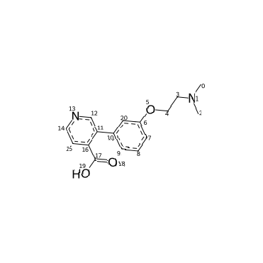 CN(C)CCOc1cccc(-c2cnccc2C(=O)O)c1